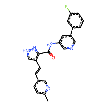 Cc1ccc(C=Cc2c[nH]nc2C(=O)Nc2cncc(-c3cccc(F)c3)c2)cn1